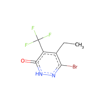 CCc1c(Br)n[nH]c(=O)c1C(F)(F)F